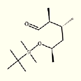 C[C@H](C[C@@H](C)[C@H](C)C=O)O[Si](C)(C)C(C)(C)C